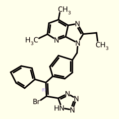 CCc1nc2c(C)cc(C)nc2n1Cc1ccc(/C(=C(/Br)c2nnn[nH]2)c2ccccc2)cc1